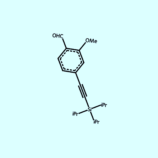 COc1cc(C#C[Si](C(C)C)(C(C)C)C(C)C)ccc1C=O